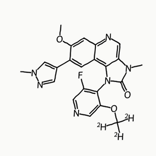 [2H]C([2H])([2H])Oc1cncc(F)c1-n1c(=O)n(C)c2cnc3cc(OC)c(-c4cnn(C)c4)cc3c21